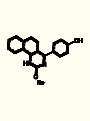 O=c1nc(-c2ccc(O)cc2)c2ccc3ccccc3c2[nH]1.[Na]